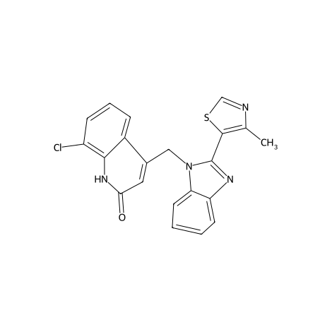 Cc1ncsc1-c1nc2ccccc2n1Cc1cc(=O)[nH]c2c(Cl)cccc12